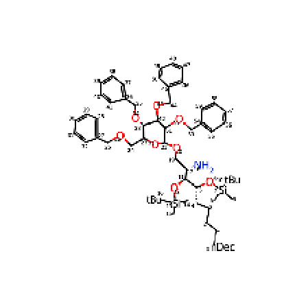 CCCCCCCCCCCCCC[C@@H](O[Si](C)(C)C(C)(C)C)[C@@H](O[Si](C)(C)C(C)(C)C)[C@@H](N)CO[C@H]1OC(COCc2ccccc2)[C@H](OCc2ccccc2)[C@@H](OCc2ccccc2)C1OCc1ccccc1